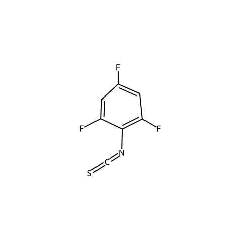 Fc1cc(F)c(N=C=S)c(F)c1